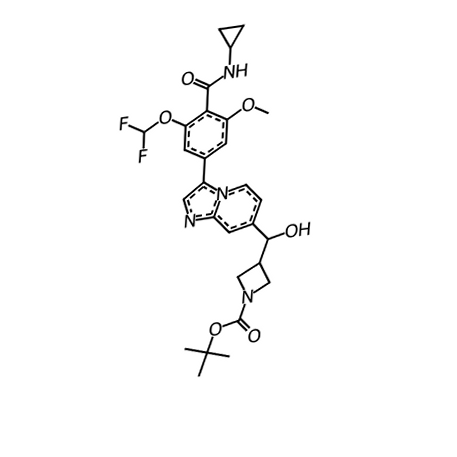 COc1cc(-c2cnc3cc(C(O)C4CN(C(=O)OC(C)(C)C)C4)ccn23)cc(OC(F)F)c1C(=O)NC1CC1